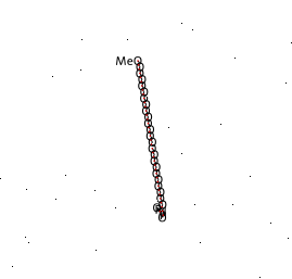 COCCOCCOCCOCCOCCOCCOCCOCCOCCOCCOCCOCCOCCOCCOCCOCCOCCOCCOCCOCCOCCOCCOCCOCCN(CP(C)(C)=O)CP(C)(C)=O